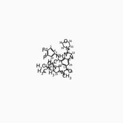 CC(Nc1ccc(F)c(F)c1)c1cc(C(=O)N(C)C2CCN(COC(C)(C)C)C2)cc2ncc(N3CCOCC3)nc12